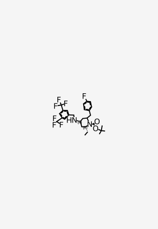 CC[C@@H]1C[C@@H](NCc2cc(C(F)(F)F)cc(C(F)(F)F)c2)CC(Cc2ccc(F)cc2)N1C(=O)OC(C)(C)C